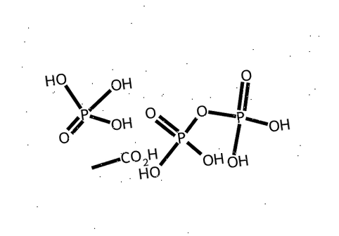 CC(=O)O.O=P(O)(O)O.O=P(O)(O)OP(=O)(O)O